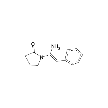 N/C(=C\c1ccccc1)N1CCCC1=O